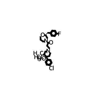 CC1(C)CN(CCC(=O)N2CCCO[C@H](Cc3ccc(F)cc3)C2)CC[C@@]1(O)c1ccc(Cl)cc1